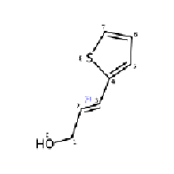 OC/C=C/c1cccs1